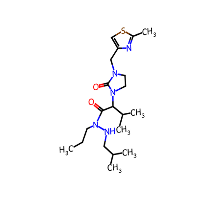 CCCN(NCC(C)C)C(=O)C(C(C)C)N1CCN(Cc2csc(C)n2)C1=O